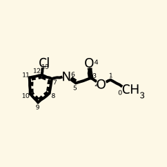 CCOC(=O)C=Nc1ccccc1Cl